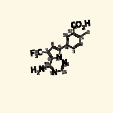 Cc1ccc(-c2cc(C(F)(F)F)c3c(N)ncnn23)cc1C(=O)O